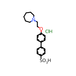 Cl.O=S(=O)(O)c1ccc(-c2ccc(OCCN3CCCCCC3)cc2)cc1